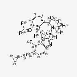 [2H]C([2H])([2H])N1C(=O)c2cccc(OC(F)F)c2[C@H]2C[C@@H]1c1nc3ccc(C#CC4CC4)c(F)c3n12